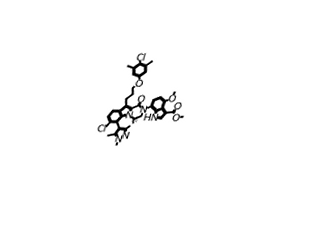 COC(=O)c1c[nH]c2c(N3C[C@@H](C)n4c(c(CCCOc5cc(C)c(Cl)c(C)c5)c5ccc(Cl)c(-c6c(C)nn(C)c6C)c54)C3=O)ccc(OC)c12